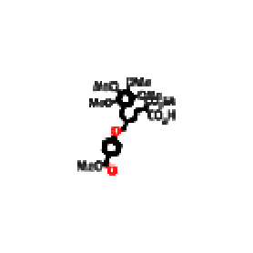 CCOC(=O)C(CCC(COc1ccc(C(=O)OC)cc1)Cc1cc(OC)c(OC)c(OC)c1OC)C(=O)O